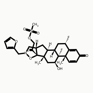 C[C@]12C=CC(=O)C=C1[C@@H](F)C[C@H]1[C@@H]3C[C@H]4CN(Cc5ccco5)O[C@@]4(C(=O)COS(C)(=O)=O)[C@@]3(C)C[C@H](O)[C@@]12F